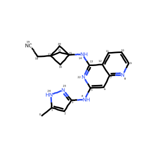 Cc1cc(Nc2cc3ncccc3c(NC34CC(CC#N)(C3)C4)n2)n[nH]1